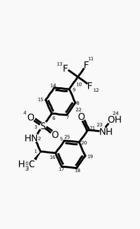 C[C@@H](NS(=O)(=O)c1ccc(C(F)(F)F)cc1)c1cccc(C(=O)NO)c1